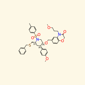 COCCCN1C(=O)COc2ccc(CO[C@H]3CN(S(=O)(=O)c4ccc(C)cc4)[C@H](CSCc4ccccc4)C[C@@H]3c3ccc(OC)cc3)cc21